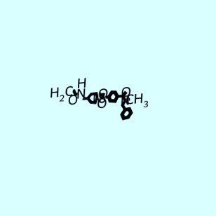 C=CC(=O)NCC1CCN(S(=O)(=O)c2ccc(C(=O)N(C)Cc3ccccc3)cc2)CC1